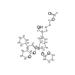 CC(=O)OCCCCC(CO)C1=CC2C(C1)C[C@H](OC1CCCCO1)[C@H]2C(=CCC1CCCCC1)OC1CCCCO1